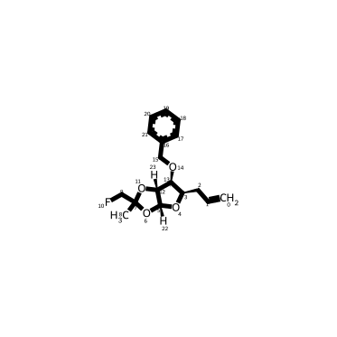 C=CC[C@H]1O[C@@H]2OC(C)(CF)O[C@@H]2[C@H]1OCc1ccccc1